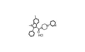 Cc1ccc2c(C(=O)N3CCN(c4cccnc4)CC3)c(-c3ccccc3)n(C)c2c1.Cl